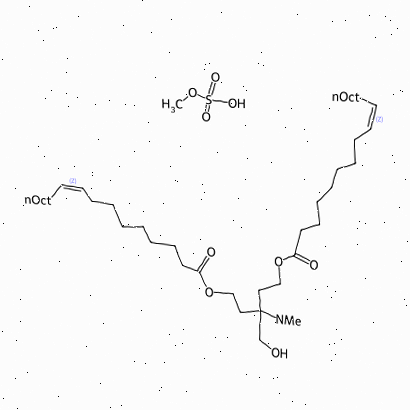 CCCCCCCC/C=C\CCCCCCCC(=O)OCCC(CO)(CCOC(=O)CCCCCCC/C=C\CCCCCCCC)NC.COS(=O)(=O)O